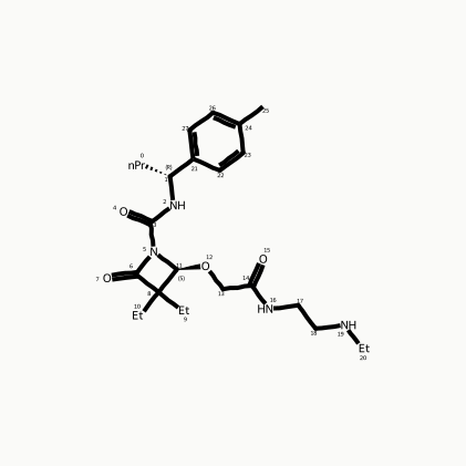 CCC[C@@H](NC(=O)N1C(=O)C(CC)(CC)[C@@H]1OCC(=O)NCCNCC)c1ccc(C)cc1